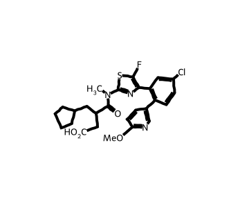 COc1ccc(-c2ccc(Cl)cc2-c2nc(N(C)C(=O)C(CC(=O)O)CC3CCCC3)sc2F)cn1